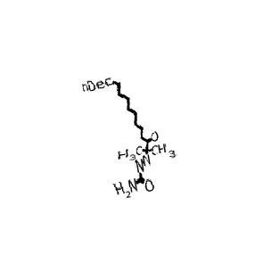 CCCCCCCCCCCCCCCCCCC(=O)C(C)(C)N=NC(N)=O